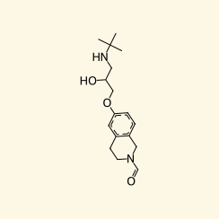 CC(C)(C)NCC(O)COc1ccc2c(c1)CCN(C=O)C2